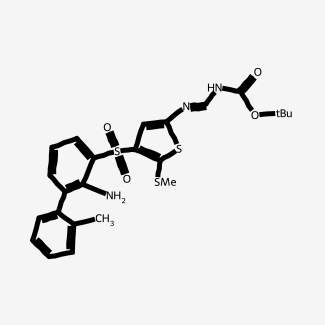 CSc1sc(N=CNC(=O)OC(C)(C)C)cc1S(=O)(=O)c1cccc(-c2ccccc2C)c1N